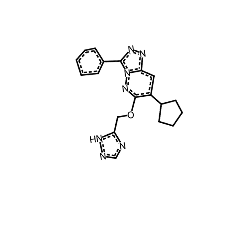 c1ccc(-c2nnc3cc(C4CCCC4)c(OCc4ncn[nH]4)nn23)cc1